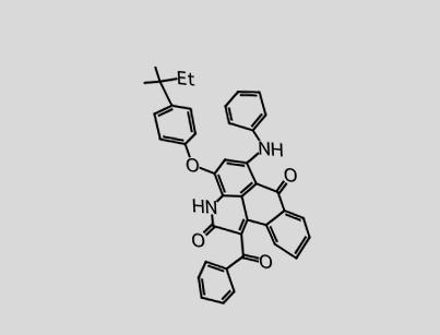 CCC(C)(C)c1ccc(Oc2cc(Nc3ccccc3)c3c4c(c(C(=O)c5ccccc5)c(=O)[nH]c24)-c2ccccc2C3=O)cc1